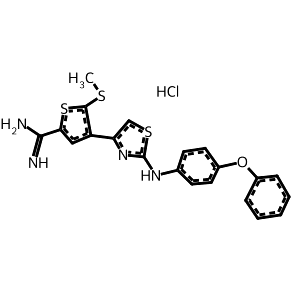 CSc1sc(C(=N)N)cc1-c1csc(Nc2ccc(Oc3ccccc3)cc2)n1.Cl